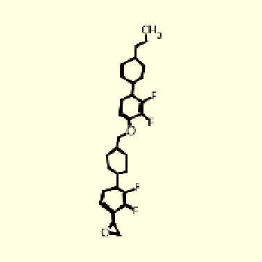 CCCC1CCC(C2CC=C(OCC3CCC(C4CC=C(C5CO5)C(F)=C4F)CC3)C(F)=C2F)CC1